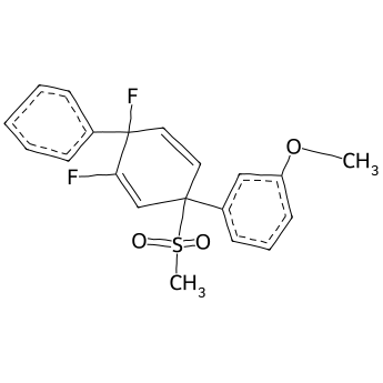 COc1cccc(C2(S(C)(=O)=O)C=CC(F)(c3ccccc3)C(F)=C2)c1